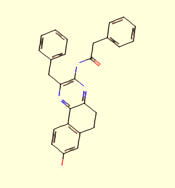 O=C(Cc1ccccc1)Nc1nc2c(nc1Cc1ccccc1)-c1ccc(O)cc1CC2